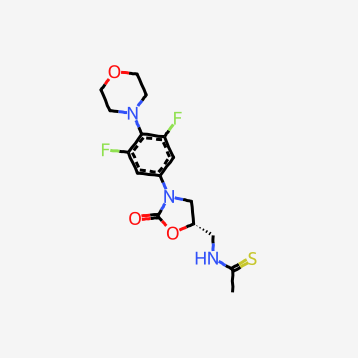 CC(=S)NC[C@H]1CN(c2cc(F)c(N3CCOCC3)c(F)c2)C(=O)O1